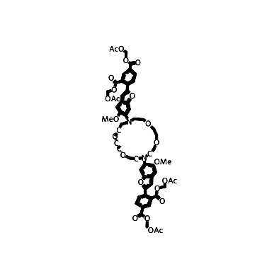 COc1cc2cc(-c3ccc(C(=O)OCOC(C)=O)cc3C(=O)OCOC(C)=O)oc2cc1N1CCOCCOCCN(c2cc3oc(-c4ccc(C(=O)OCOC(C)=O)cc4C(=O)OCOC(C)=O)cc3cc2OC)CCOCCOCC1